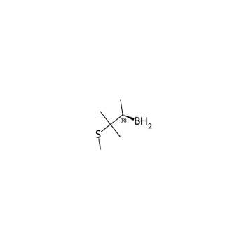 B[C@H](C)C(C)(C)SC